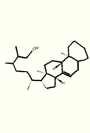 CC(CO)C(C)CC[C@@H](C)[C@H]1CC[C@H]2C3=CCC4CCCC[C@]4(C)[C@H]3CC[C@]12C